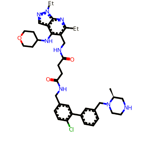 CCc1nc2c(cnn2CC)c(NC2CCOCC2)c1CNC(=O)CCC(=O)NCc1ccc(Cl)c(-c2cccc(CN3CCNC[C@@H]3C)c2)c1